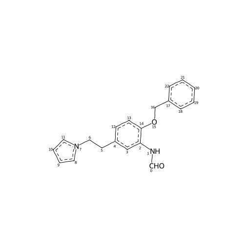 O=CNc1cc(CCn2cccc2)ccc1OCc1ccccc1